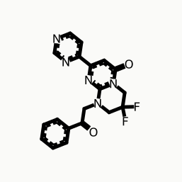 O=C(CN1CC(F)(F)Cn2c1nc(-c1ccncn1)cc2=O)c1ccccc1